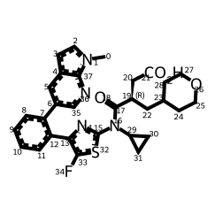 Cn1ccc2cc(-c3ccccc3-c3nc(N(C(=O)[C@@H](CC(=O)O)CC4CCOCC4)C4CC4)sc3F)cnc21